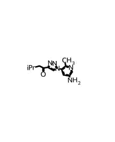 Cc1ncc(N)cc1-n1cc(C(=O)CC(C)C)nn1